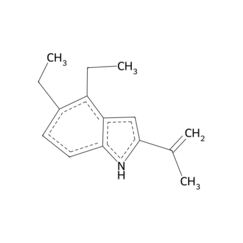 C=C(C)c1cc2c(CC)c(CC)ccc2[nH]1